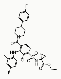 CCOC(=O)C1(NS(=O)(=O)c2ncc(C(=O)N3CCC(c4ccc(F)cc4)CC3)c(Nc3ccc(F)cc3C)c2Cl)CC1